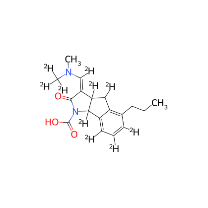 [2H]/C(=C1/C(=O)N(C(=O)O)C2([2H])c3c([2H])c([2H])c([2H])c(CCC)c3C([2H])C12[2H])N(C)C([2H])([2H])[2H]